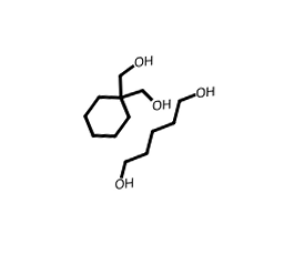 OCC1(CO)CCCCC1.OCCCCCO